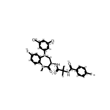 CN1C(=O)[C@H](NC(=O)C(C)(C)NC(=O)c2ccc(F)cc2)CN(c2cc(Cl)cc(Cl)c2)c2cc(F)ccc21